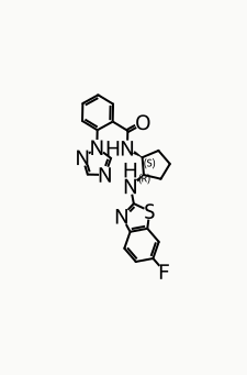 O=C(N[C@H]1CCC[C@H]1Nc1nc2ccc(F)cc2s1)c1ccccc1-n1cncn1